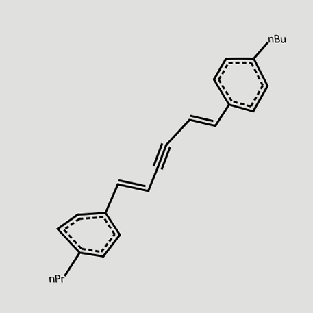 CCCCc1ccc(C=CC#CC=Cc2ccc(CCC)cc2)cc1